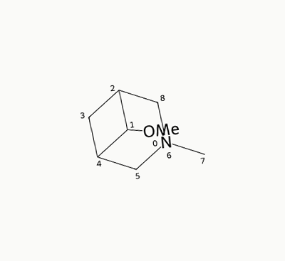 COC1C2CC1CN(C)C2